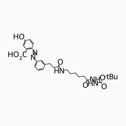 CC(C)(C)OC(=O)NNC(=O)CCCCCNC(=O)CCc1cccc(N=Nc2ccc(O)cc2C(=O)O)c1